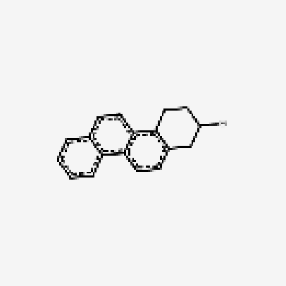 CCC1CCc2c(ccc3c2ccc2ccccc23)C1